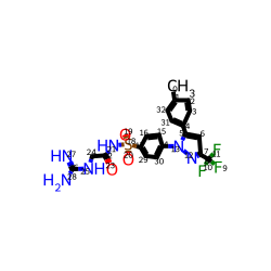 Cc1ccc(-c2cc(C(F)(F)F)nn2-c2ccc(S(=O)(=O)NC(=O)CNC(=N)N)cc2)cc1